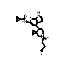 N#CCCC(=O)N1CC=C(c2cc(NC(=O)C3CC3)nc3[nH]ccc23)C2(CC2)C1